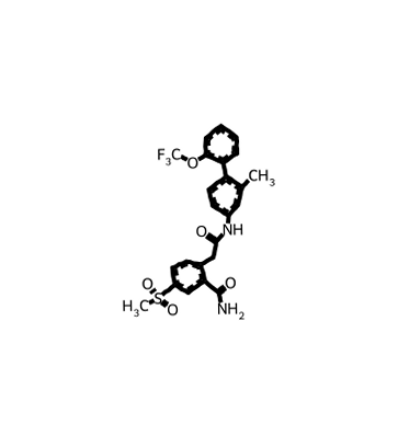 Cc1cc(NC(=O)Cc2ccc(S(C)(=O)=O)cc2C(N)=O)ccc1-c1ccccc1OC(F)(F)F